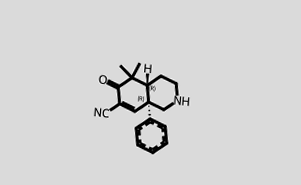 CC1(C)C(=O)C(C#N)=C[C@]2(c3ccccc3)CNCC[C@@H]12